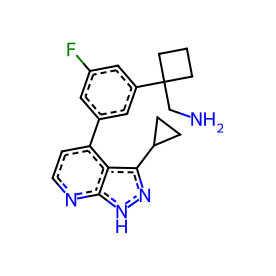 NCC1(c2cc(F)cc(-c3ccnc4[nH]nc(C5CC5)c34)c2)CCC1